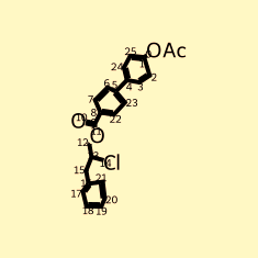 CC(=O)Oc1ccc(-c2ccc(C(=O)OCC(Cl)Cc3ccccc3)cc2)cc1